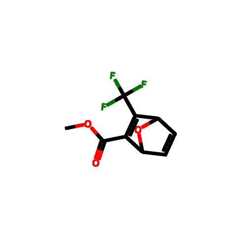 COC(=O)C1=C(C(F)(F)F)C2C=CC1O2